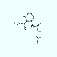 NC(=O)c1c(F)cccc1NC(=O)C1CCC(=O)C1